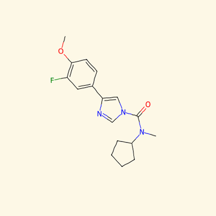 COc1ccc(-c2cn(C(=O)N(C)C3CCCC3)cn2)cc1F